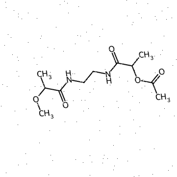 COC(C)C(=O)NCCNC(=O)C(C)OC(C)=O